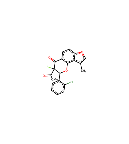 COC(=O)C1(F)C(=O)c2ccc3occ(C)c3c2OC1c1ccccc1Cl